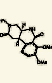 CCCN1C[C@H]2NC(=O)c3c(ccc(OC)c3OC)[C@@H]2CC1=O